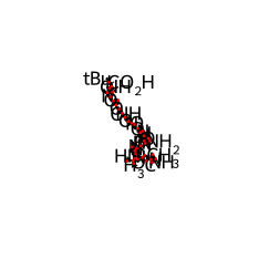 Cc1n[nH]c(C)c1-c1ccc(NC(=O)[C@@H](NC(=O)c2ccnn2CCCN(CC(N)=O)C(=O)Cn2cc(COCC(=O)N3CC(OCCNC(=O)COc4cccc(Oc5ccc(C(=O)N[C@@H](CCC(C)(C)C)C(=O)O)cn5)c4)C3)nn2)C(C2CC2)C2CC2)cc1